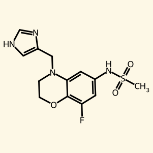 CS(=O)(=O)Nc1cc(F)c2c(c1)N(Cc1c[nH]cn1)CCO2